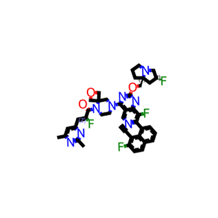 C#Cc1c(F)ccc2cccc(-c3ncc4c(N5CCN(C(=O)/C(F)=C/c6cc(C)nc(C)n6)C6(COC6)C5)nc(OC[C@@]56CCCN5C[C@H](F)C6)nc4c3F)c12